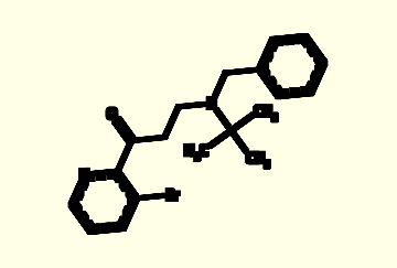 CC(C)(C)N(CCC(=O)c1ncccc1Br)Cc1ccccc1